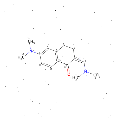 CN(C)/C=C1/CCc2cc(N(C)C)ccc2C1=O